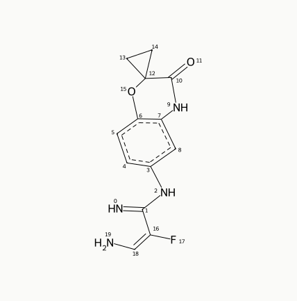 N=C(Nc1ccc2c(c1)NC(=O)C1(CC1)O2)/C(F)=C\N